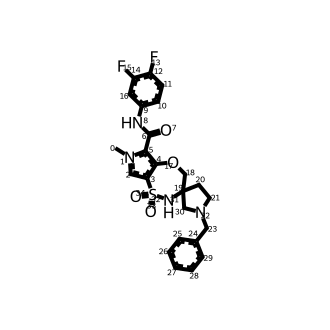 Cn1cc2c(c1C(=O)Nc1ccc(F)c(F)c1)OCC1(CCN(Cc3ccccc3)C1)NS2(=O)=O